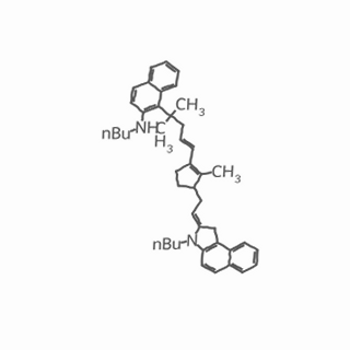 CCCCNc1ccc2ccccc2c1C(C)(C)C/C=C/C1=C(C)C(C/C=C2\Cc3c(ccc4ccccc34)N2CCCC)CC1